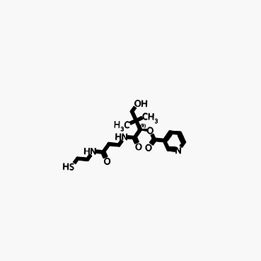 CC(C)(CO)[C@@H](OC(=O)c1cccnc1)C(=O)NCCC(=O)NCCS